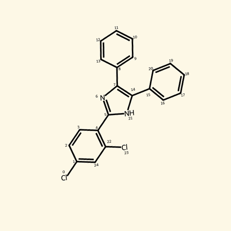 Clc1ccc(-c2nc(-c3ccccc3)c(-c3ccccc3)[nH]2)c(Cl)c1